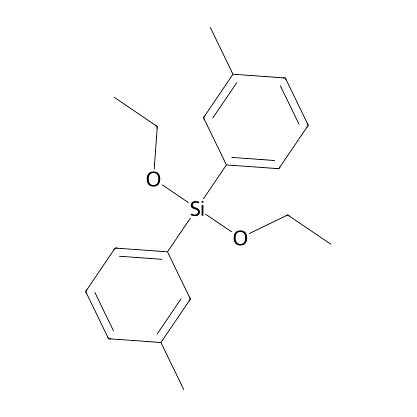 CCO[Si](OCC)(c1cccc(C)c1)c1cccc(C)c1